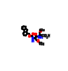 CC(C)(C)OC[C@H](NC(=O)[C@H](COC(C)(C)C)NC(=O)OCc1cccc2c1Cc1ccccc1-2)C(=O)O